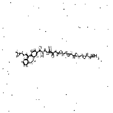 CN(C)CC/C=C1\c2ccccc2CCc2cc(C(=O)NCCNC(=O)CCOCCOCCOCCOCCN)ccc21